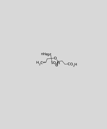 C=CCC(CCCCCCC)(OC(=O)CCC(=O)O)S(=O)(=O)O